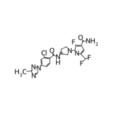 Cc1ncn(-c2ccc(C(=O)N[C@@H]3CCN(c4nc(C(F)F)cc(C(N)=O)c4F)C3)c(Cl)c2)n1